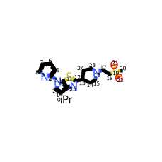 CC(C)c1cn(-c2ccccn2)c2sc(C3CCN(CCS(C)(=O)=O)CC3)nc12